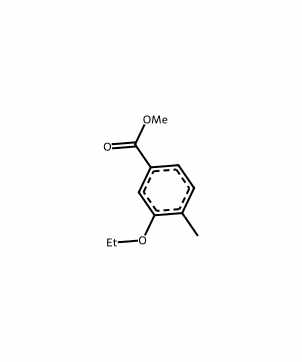 CCOc1cc(C(=O)OC)ccc1C